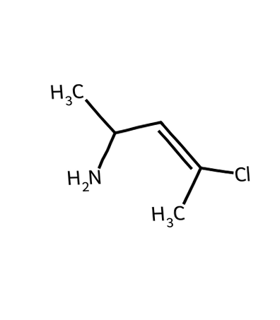 C/C(Cl)=C\C(C)N